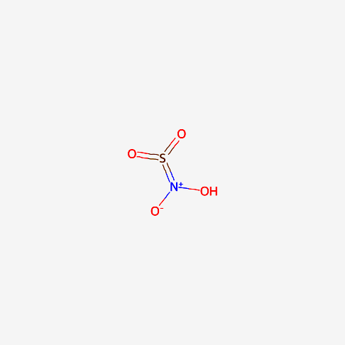 O=S(=O)=[N+]([O-])O